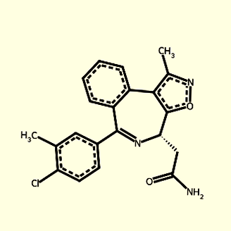 Cc1cc(C2=N[C@@H](CC(N)=O)c3onc(C)c3-c3ccccc32)ccc1Cl